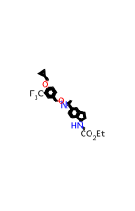 CCOC(=O)CNC1CCc2cc(/C(C)=N/OCc3ccc(OCC4CC4)c(C(F)(F)F)c3)ccc21